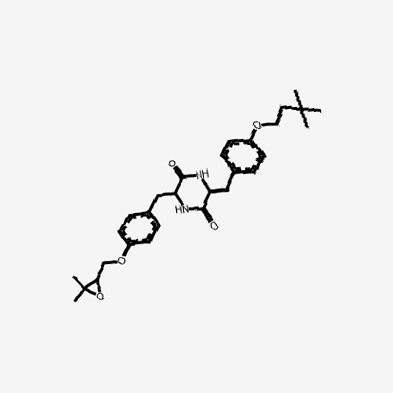 CC(C)(C)CCOc1ccc(CC2NC(=O)C(Cc3ccc(OCC4OC4(C)C)cc3)NC2=O)cc1